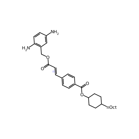 CCCCCCCCC1CCC(OC(=O)c2ccc(/C=C/C(=O)OCc3cc(N)ccc3N)cc2)CC1